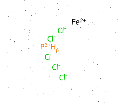 [Cl-].[Cl-].[Cl-].[Cl-].[Cl-].[Fe+2].[PH6+3]